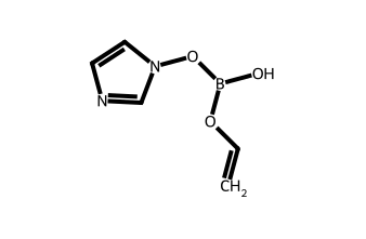 C=COB(O)On1ccnc1